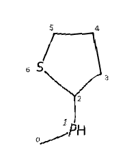 CPC1CCCS1